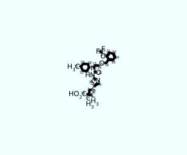 CC(C)(CSc1cnc(NC(=O)N(CCOCc2ccccc2OC(F)F)[C@H]2CC[C@H](C)CC2)s1)C(=O)O